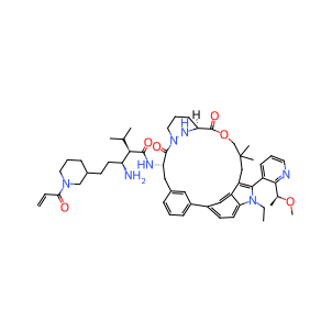 C=CC(=O)N1CCCC(CC[C@H](N)[C@H](C(=O)N[C@H]2Cc3cccc(c3)-c3ccc4c(c3)c(c(-c3cccnc3[C@H](C)OC)n4CC)CC(C)(C)COC(=O)[C@@H]3CCCN(N3)C2=O)C(C)C)C1